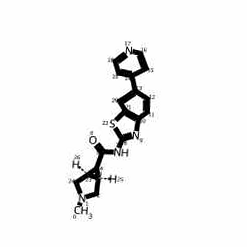 CN1C[C@@H]2C(C(=O)Nc3nc4ccc(-c5ccncc5)cc4s3)[C@@H]2C1